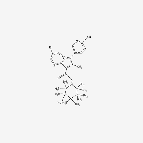 BC1(B)N(CC(=O)c2c(C)n(-c3ccc(C#N)cc3)c3cc(Br)cnc23)C(B)(B)C(B)(B)C(B)(B)C1(B)B